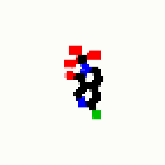 O=c1c2cnc(Cl)cc2ccn1C(O)(O)O